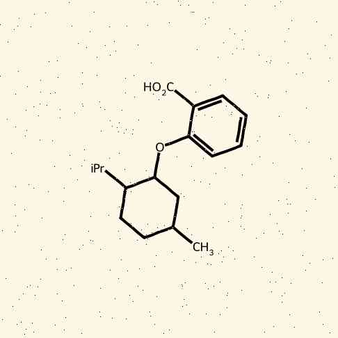 CC1CCC(C(C)C)C(Oc2ccccc2C(=O)O)C1